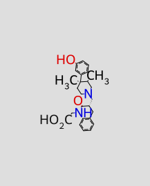 CC1CN(C[C@H](Cc2ccccc2)C(=O)NCC(=O)O)CC[C@@]1(C)c1cccc(O)c1